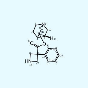 O=C(O[C@H]1CN2CCC1CC2)C1(c2ccccc2)CNC1